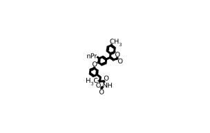 CCCc1cc(-c2cc(=O)oc3cc(C)ccc23)ccc1Oc1cccc(C[C@@]2(C)OC(=O)NC2=O)c1